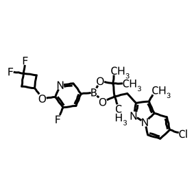 Cc1c(CC2(C)OB(c3cnc(OC4CC(F)(F)C4)c(F)c3)OC2(C)C)nn2ccc(Cl)cc12